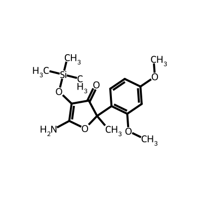 COc1ccc(C2(C)OC(N)=C(O[Si](C)(C)C)C2=O)c(OC)c1